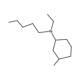 CCCCCN(CC)C1CCCC(C)C1